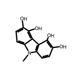 Cn1c2ccc(O)c(O)c2c2c(O)c(O)ccc21